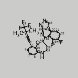 CC(C)(C#Cc1cccc2c1OC(c1nc3nncn3c3ccc(F)c(F)c13)CCN2)C(F)(F)F